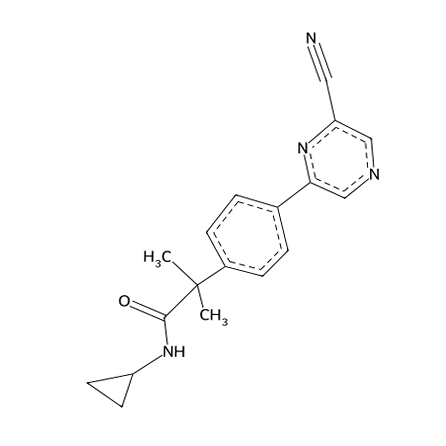 CC(C)(C(=O)NC1CC1)c1ccc(-c2cncc(C#N)n2)cc1